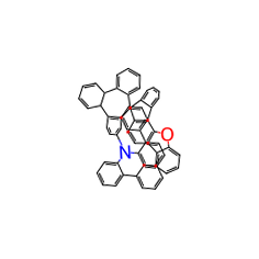 C1=CC2c3ccccc3C3(c4ccccc4-c4c3ccc3c4oc4ccccc43)c3cc(N(c4ccccc4-c4ccccc4)c4ccccc4-c4ccccc4)ccc3C2C=C1